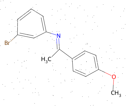 COc1ccc(/C(C)=N/c2cccc(Br)c2)cc1